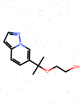 CC(C)(OCCO)c1ccc2ccnn2c1